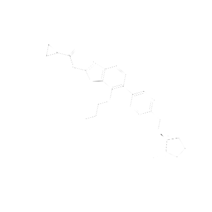 O=C(Nc1nc2ccc(-c3cnc(CO[C@H]4CCC[C@@H]4O)nc3)c(OCCO)c2s1)C1CC1